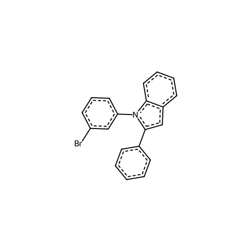 Brc1cccc(-n2c(-c3ccccc3)cc3ccccc32)c1